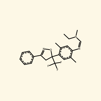 CCN(C)/C=N\c1cc(C)c(C2(C(F)(F)F)CC(c3ccccc3)=NO2)cc1C